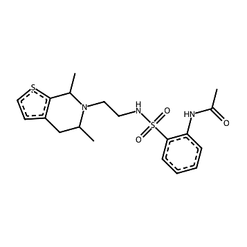 CC(=O)Nc1ccccc1S(=O)(=O)NCCN1C(C)Cc2ccsc2C1C